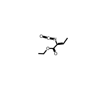 C/C=C(\N=C=O)C(=O)OCC